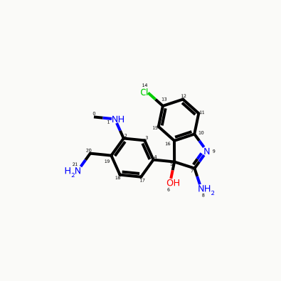 CNc1cc(C2(O)C(N)=Nc3ccc(Cl)cc32)ccc1CN